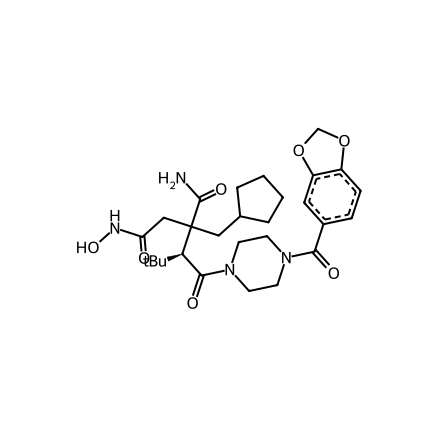 CC(C)(C)[C@H](C(=O)N1CCN(C(=O)c2ccc3c(c2)OCO3)CC1)C(CC(=O)NO)(CC1CCCC1)C(N)=O